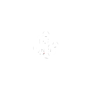 CC[C@H](NC(=O)c1c(Cn2ccnc2C)n(-c2ccccc2)c(=O)c2ccccc12)c1ccccc1